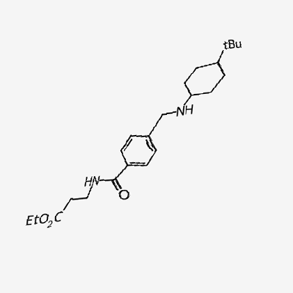 CCOC(=O)CCNC(=O)c1ccc(CNC2CCC(C(C)(C)C)CC2)cc1